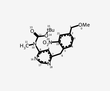 COCc1ccc(Cc2cc(N(C)C(=O)OC(C)(C)C)ncn2)c([N+](=O)[O-])c1